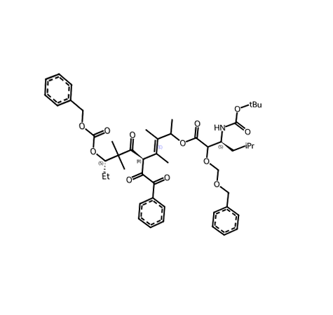 CC[C@H](OC(=O)OCc1ccccc1)C(C)(C)C(=O)[C@H](C(=O)C(=O)c1ccccc1)/C(C)=C(\C)C(C)OC(=O)C(OCOCc1ccccc1)[C@H](CC(C)C)NC(=O)OC(C)(C)C